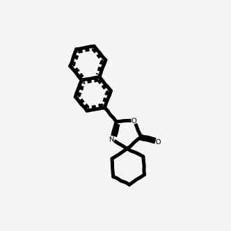 O=C1OC(c2ccc3ccccc3c2)=NC12CCCCC2